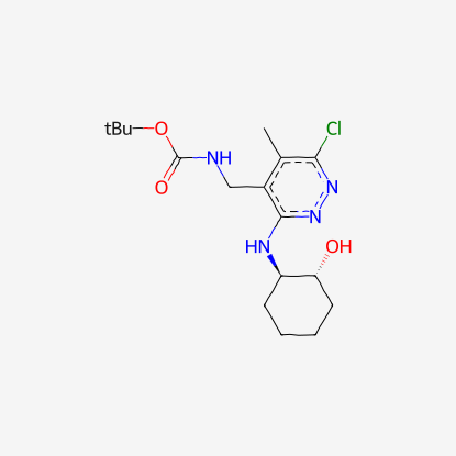 Cc1c(Cl)nnc(N[C@@H]2CCCC[C@H]2O)c1CNC(=O)OC(C)(C)C